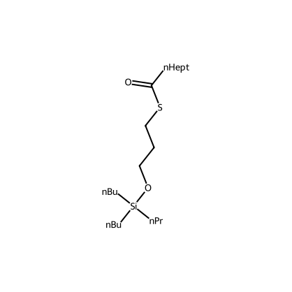 CCCCCCCC(=O)SCCCO[Si](CCC)(CCCC)CCCC